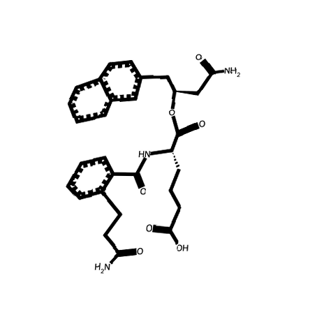 NC(=O)CCc1ccccc1C(=O)N[C@@H](CCCC(=O)O)C(=O)O[C@H](CC(N)=O)Cc1ccc2ccccc2c1